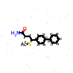 CC(=O)SC(CCC(N)=O)c1ccc(-c2ccccc2)cc1